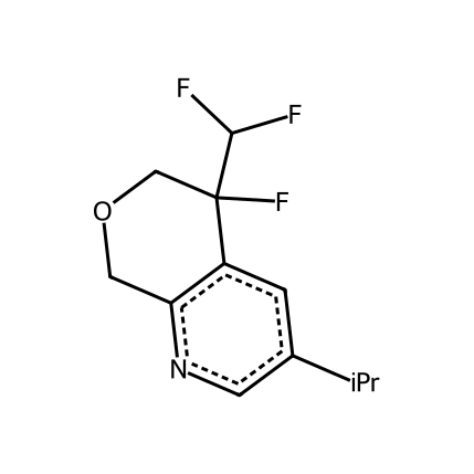 CC(C)c1cnc2c(c1)C(F)(C(F)F)COC2